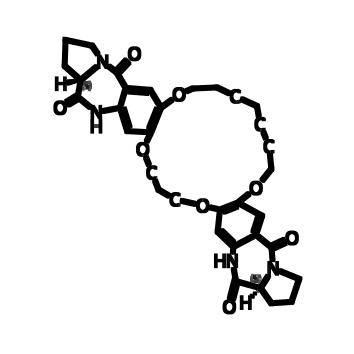 O=C1Nc2cc3c(cc2C(=O)N2CCC[C@@H]12)OCCCCCCCOc1cc2c(cc1OCCCO3)NC(=O)[C@@H]1CCCN1C2=O